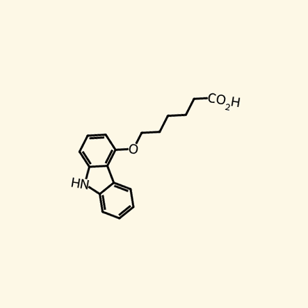 O=C(O)CCCCCOc1cccc2[nH]c3ccccc3c12